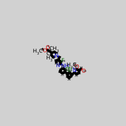 CCOC(=O)C(C)(C)C1CCN(Cc2ccnc(Nc3cccc(-c4cccc(-c5ccc(C=O)c(OC)n5)c4Cl)c3Cl)c2F)CC1